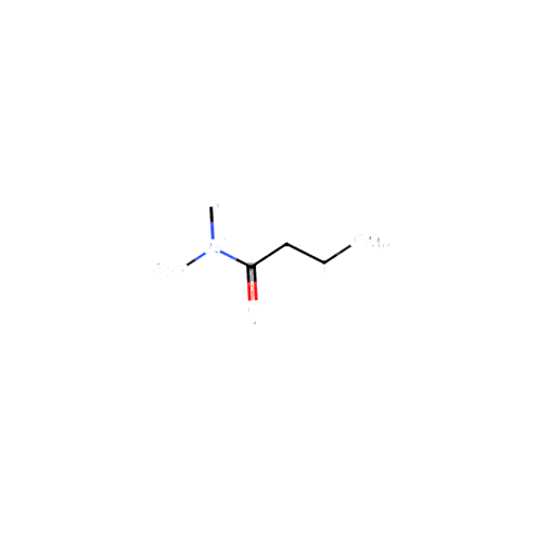 COCCC(=O)N(C)OC(C)=O